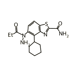 CCC(=O)N(N)c1ccc2sc(C(N)=O)nc2c1C1CCCCC1